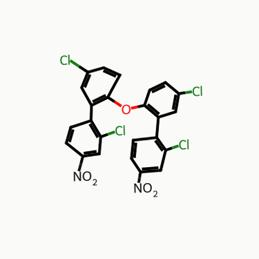 O=[N+]([O-])c1ccc(-c2cc(Cl)ccc2Oc2ccc(Cl)cc2-c2ccc([N+](=O)[O-])cc2Cl)c(Cl)c1